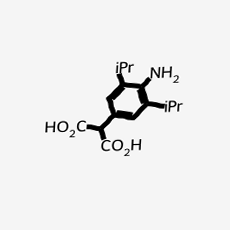 CC(C)c1cc(C(C(=O)O)C(=O)O)cc(C(C)C)c1N